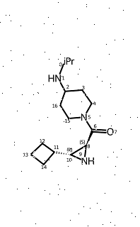 CC(C)NC1CCN(C(=O)[C@H]2N[C@@H]2C2CCC2)CC1